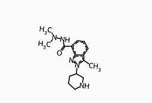 Cc1c2cccc(C(=O)NN(C)C)c2nn1C1CCCNC1